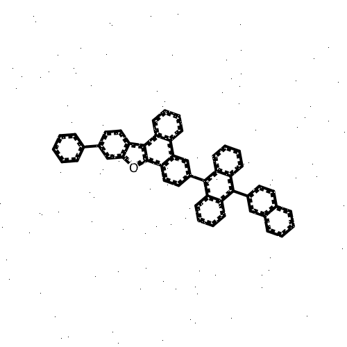 c1ccc(-c2ccc3c(c2)oc2c4ccc(-c5c6ccccc6c(-c6ccc7ccccc7c6)c6ccccc56)cc4c4ccccc4c32)cc1